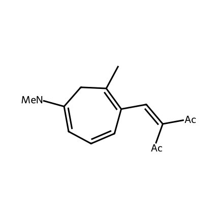 CNC1=CC=CC(C=C(C(C)=O)C(C)=O)=C(C)C1